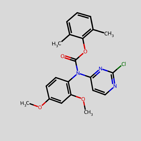 COc1ccc(N(C(=O)Oc2c(C)cccc2C)c2ccnc(Cl)n2)c(OC)c1